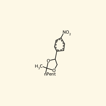 CCCCCC1(C)OCC(c2ccc([N+](=O)[O-])cc2)O1